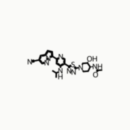 CC(=O)N[C@H]1CCN(c2nnc(-c3cnc(-c4ccc5cc(C#N)cnn45)cc3NC(C)C)s2)C[C@@H]1O